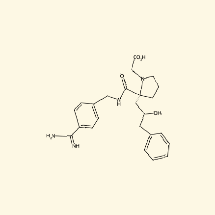 N=C(N)c1ccc(CNC(=O)[C@]2(CC(O)Cc3ccccc3)CCCN2CC(=O)O)cc1